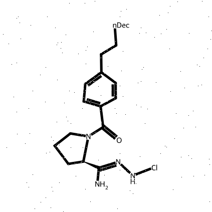 CCCCCCCCCCCCc1ccc(C(=O)N2CCC[C@@H]2C(N)=NNCl)cc1